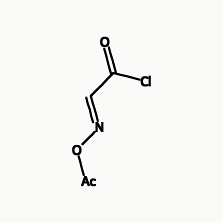 CC(=O)ON=CC(=O)Cl